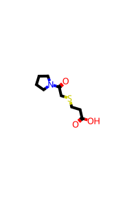 O=C(O)CCSCC(=O)N1CCCC1